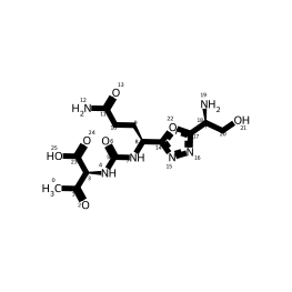 CC(=O)[C@H](NC(=O)N[C@@H](CCC(N)=O)c1nnc([C@@H](N)CO)o1)C(=O)O